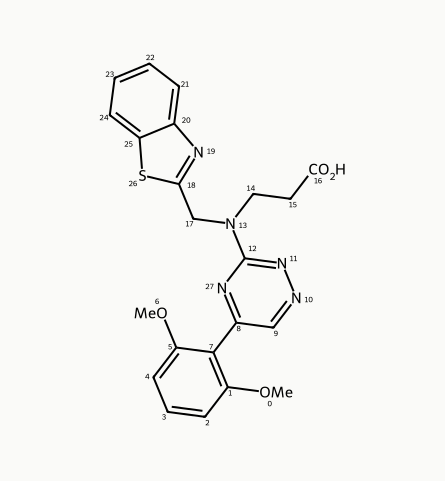 COc1cccc(OC)c1-c1cnnc(N(CCC(=O)O)Cc2nc3ccccc3s2)n1